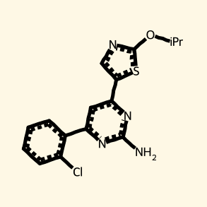 CC(C)Oc1ncc(-c2cc(-c3ccccc3Cl)nc(N)n2)s1